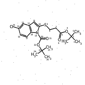 CC(C)(C)OC(=O)CCSc1cc2cc(Cl)ccc2n1C(=O)OC(C)(C)C